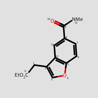 CCOC(=O)Cc1coc2ccc(C(=O)NC)cc12